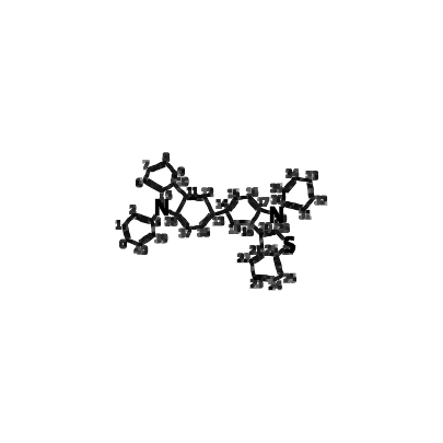 c1ccc(-n2c3ccccc3c3cc(-c4ccc5c(c4)c4c6ccccc6sc4n5-c4ccccc4)ccc32)cc1